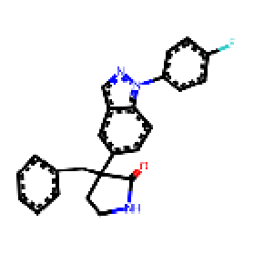 O=C1NCCC1(Cc1ccccc1)c1ccc2c(cnn2-c2ccc(F)cc2)c1